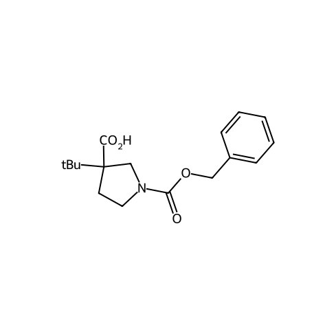 CC(C)(C)C1(C(=O)O)CCN(C(=O)OCc2ccccc2)C1